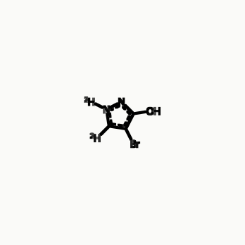 [2H]c1c(Br)c(O)nn1[2H]